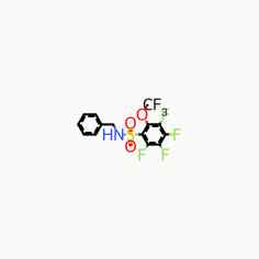 O=S(=O)(NCc1ccccc1)c1c(F)c(F)c(F)c(F)c1OC(F)(F)F